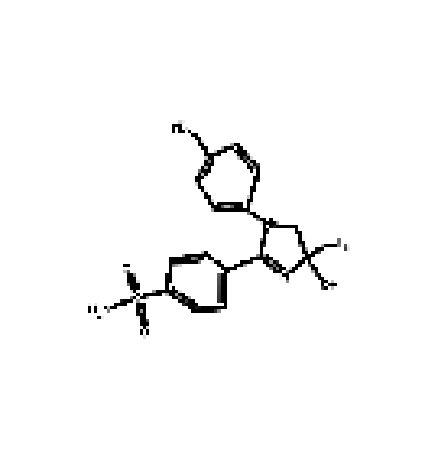 CCCCc1ccc(N2CC(O)(C(F)(F)F)N=C2c2ccc(S(N)(=O)=O)cc2)cc1